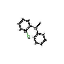 C[C@@H](c1ccccc1)c1ccccc1Cl